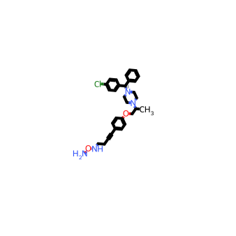 CC(COc1ccc(C#CCCNON)cc1)N1CCN([C@H](c2ccccc2)c2ccc(Cl)cc2)CC1